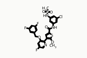 COc1sc(C(=O)Nc2cc(Cl)cc(NS(C)(=O)=O)c2)cc1-c1ncc(F)cc1OCc1cc(F)cc(F)c1